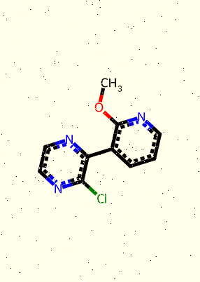 COc1ncccc1-c1nccnc1Cl